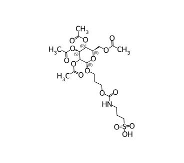 CC(=O)OC[C@H]1O[C@@H](OCCCOC(=O)NCCCS(=O)(=O)O)C(OC(C)=O)[C@@H](OC(C)=O)[C@@H]1OC(C)=O